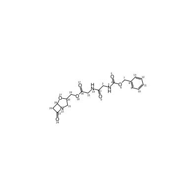 O=C(CNC(=O)OCc1ccccc1)NCC(=O)OCC1CN2C(=O)CC2O1